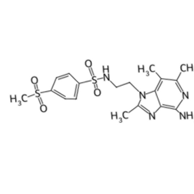 Cc1nc(N)c2nc(C)n(CCNS(=O)(=O)c3ccc(S(C)(=O)=O)cc3)c2c1C